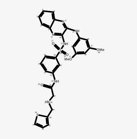 COc1cc(Nc2nc3ccccc3nc2NS(=O)(=O)c2cccc(NC(=O)CNCc3cccs3)c2)cc(OC)c1